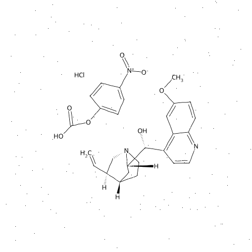 C=C[C@H]1C[N@]2CC[C@H]1C[C@H]2[C@H](O)c1ccnc2ccc(OC)cc12.Cl.O=C(O)Oc1ccc([N+](=O)[O-])cc1